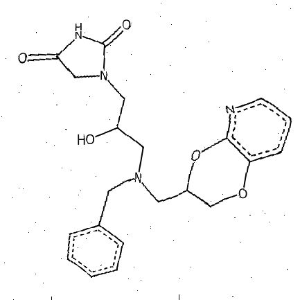 O=C1CN(CC(O)CN(Cc2ccccc2)CC2COc3cccnc3O2)C(=O)N1